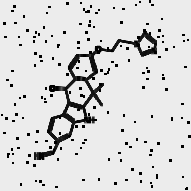 CC1(C)c2cc(OCCn3ccnc3)ccc2C(=O)c2c1[nH]c1cc(C=N)ccc21